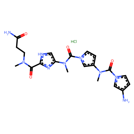 CN(CCC(N)=O)C(=O)c1nc(N(C)C(=O)n2ccc(N(C)C(=O)n3ccc(N)c3)c2)c[nH]1.Cl